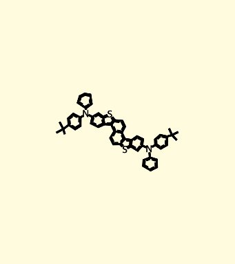 CC(C)(C)c1ccc(N(c2ccccc2)c2ccc3c(c2)sc2ccc4c(ccc5sc6cc(N(c7ccccc7)c7ccc(C(C)(C)C)cc7)ccc6c54)c23)cc1